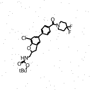 CC(C)(C)OC(=O)NCC1Cc2cc(-c3ccc(C(=O)N4CCC(F)(F)CC4)cc3)cc(Cl)c2O1